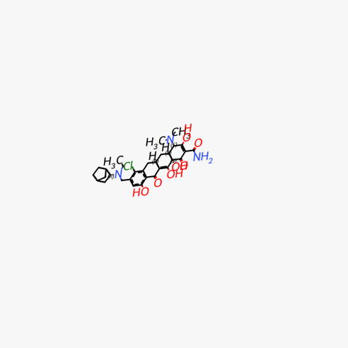 CCN(Cc1cc(O)c2c(c1Cl)C[C@H]1C[C@H]3[C@H](N(C)C)C(O)=C(C(N)=O)C(=O)[C@@]3(O)C(O)=C1C2=O)[C@@H]1CC2CCC1C2